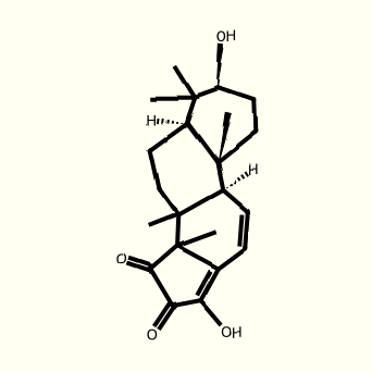 CC1(C)[C@@H](O)CC[C@@]2(C)[C@H]1CCC1(C)[C@@H]2C=CC2=C(O)C(=O)C(=O)C21C